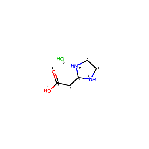 Cl.O=C(O)CC1NCCN1